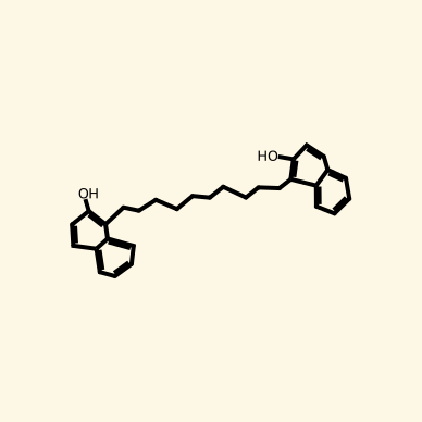 Oc1ccc2ccccc2c1CCCCCCCCCCc1c(O)ccc2ccccc12